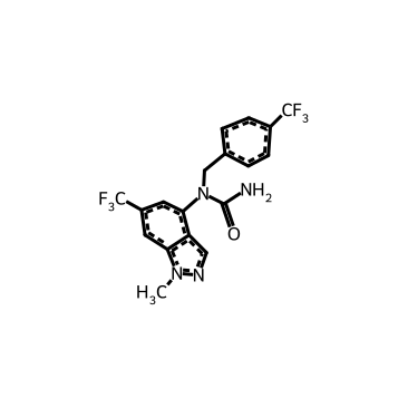 Cn1ncc2c(N(Cc3ccc(C(F)(F)F)cc3)C(N)=O)cc(C(F)(F)F)cc21